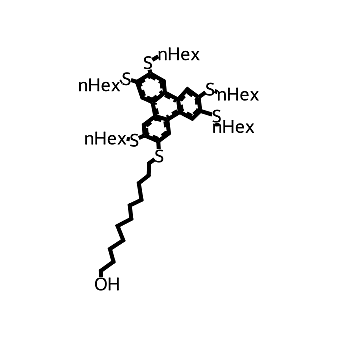 CCCCCCSc1cc2c3cc(SCCCCCC)c(SCCCCCC)cc3c3cc(SCCCCCCCCCCCO)c(SCCCCCC)cc3c2cc1SCCCCCC